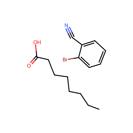 CCCCCCCC(=O)O.N#Cc1ccccc1Br